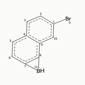 Brc1ccc2ccc3c(c2c1)B3